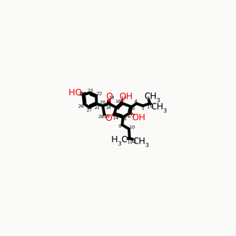 CC(C)CCc1c(O)c(CCC(C)C)c2c(c1O)C(=O)C(c1ccc(O)cc1)CO2